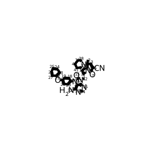 CC(C)(/C=C(/C#N)C(=O)N1CC[C@H]1Cn1c(=O)n(-c2ccc(Oc3ccccc3)cc2)c2c(N)ncnc21)N1CCCCC1